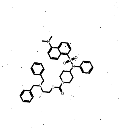 C[C@@H](COC(=O)N1CCC(N(c2ccccc2)S(=O)(=O)c2cccc3c(N(C)C)cccc23)CC1)N(Cc1ccccc1)Cc1ccccc1